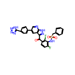 O=C(c1ccc(F)c(NS(=O)(=O)Cc2ccccc2)c1F)c1n[nH]c2ncc(-c3ccc(-c4nnn[nH]4)cc3)cc12